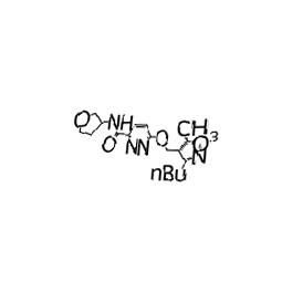 CCCCc1noc(C)c1COc1ccc(C(=O)NC2CCOC2)nn1